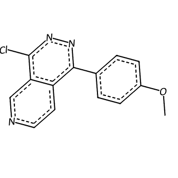 COc1ccc(-c2nnc(Cl)c3cnccc23)cc1